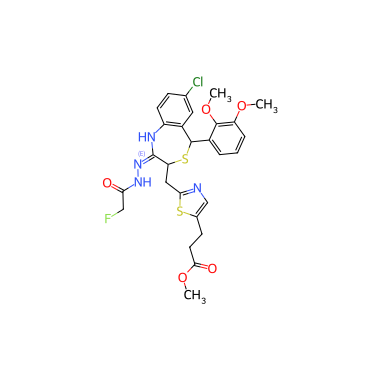 COC(=O)CCc1cnc(CC2SC(c3cccc(OC)c3OC)c3cc(Cl)ccc3N/C2=N/NC(=O)CF)s1